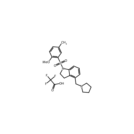 COc1ccc(C)cc1S(=O)(=O)N1CCc2c(CN3CCCC3)cccc21.O=C(O)C(F)(F)F